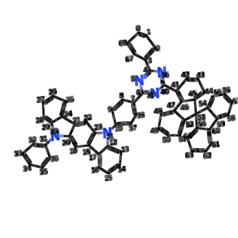 c1ccc(-c2nc(-c3ccc(-n4c5ccccc5c5cc6c(cc54)c4ccccc4n6-c4ccccc4)cc3)nc(-c3cccc4c3-c3ccccc3C43c4ccccc4-c4ccccc43)n2)cc1